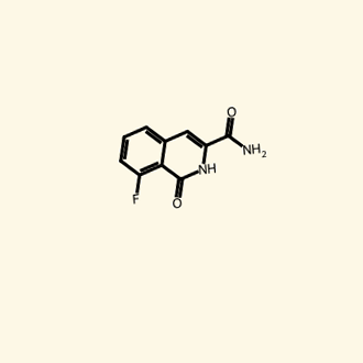 NC(=O)c1cc2cccc(F)c2c(=O)[nH]1